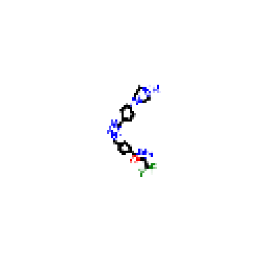 FC(F)c1nnc(-c2ccc(Cn3nnc(-c4ccc(N5CCNCC5)cc4)n3)cc2)o1